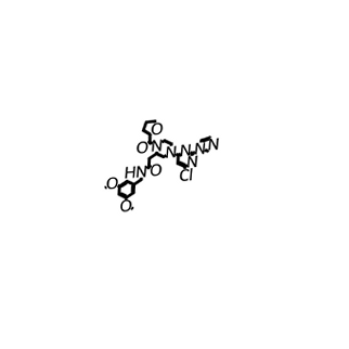 COc1cc(CNC(=O)CC2CN(c3cc(Cl)nc(-n4ccnc4)n3)CCN2C(=O)C2CCCO2)cc(OC)c1